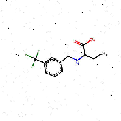 CCC(NCc1cccc(C(F)(F)F)c1)C(=O)O